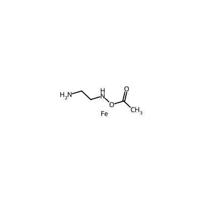 CC(=O)ONCCN.[Fe]